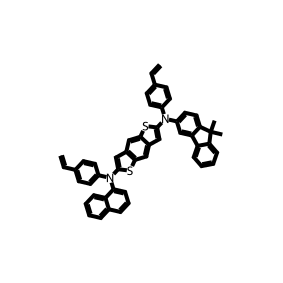 C=Cc1ccc(N(c2ccc3c(c2)-c2ccccc2C3(C)C)c2cc3cc4sc(N(c5ccc(C=C)cc5)c5cccc6ccccc56)cc4cc3s2)cc1